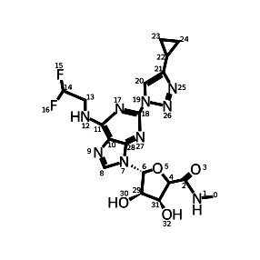 CNC(=O)C1O[C@@H](n2cnc3c(NCC(F)F)nc(-n4cc(C5CC5)nn4)nc32)[C@H](O)[C@@H]1O